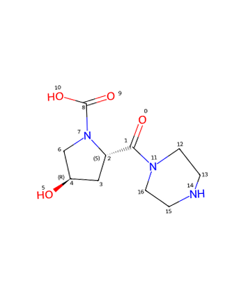 O=C([C@@H]1C[C@@H](O)CN1C(=O)O)N1CCNCC1